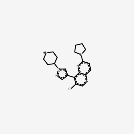 Clc1cnc2ccc(N3CCCC3)nc2c1-c1cnn(C2CCNCC2)c1